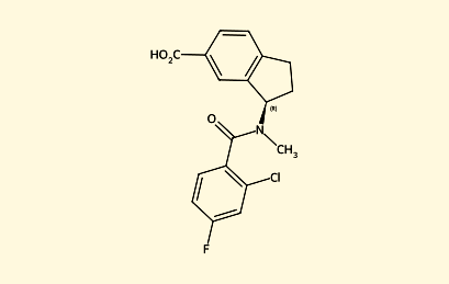 CN(C(=O)c1ccc(F)cc1Cl)[C@@H]1CCc2ccc(C(=O)O)cc21